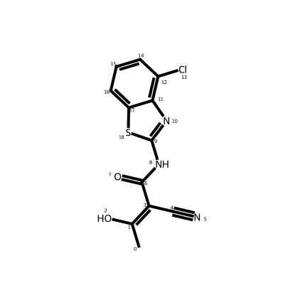 C/C(O)=C(\C#N)C(=O)Nc1nc2c(Cl)cccc2s1